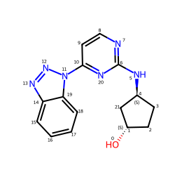 O[C@H]1CC[C@H](Nc2nccc(-n3nnc4ccccc43)n2)C1